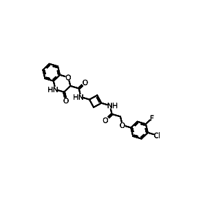 O=C(COc1ccc(Cl)c(F)c1)NC1=CC(NC(=O)C2Oc3ccccc3NC2=O)C1